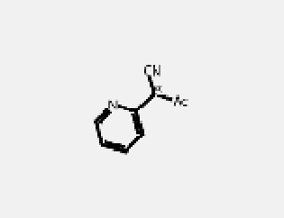 CC(=O)[C@H](C#N)c1ccccn1